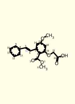 COC(=O)c1c(/C=C/c2ccccc2)cc(OC)cc1OCC(=O)O